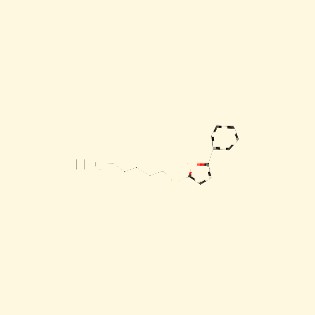 CCCCCCSc1ccc(-c2ccccc2)o1